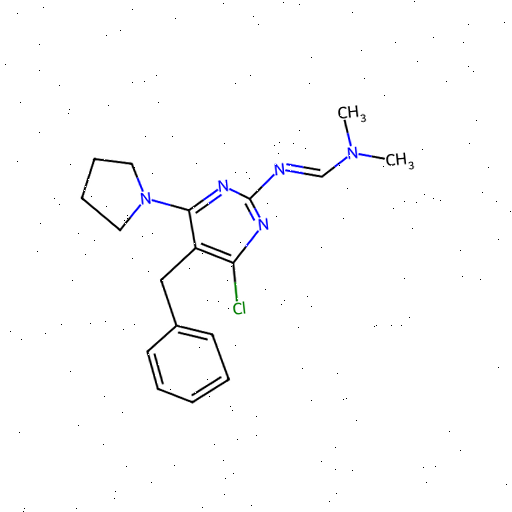 CN(C)C=Nc1nc(Cl)c(Cc2ccccc2)c(N2CCCC2)n1